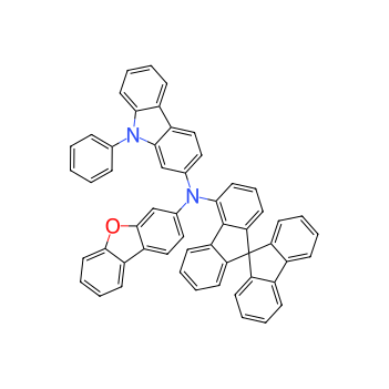 c1ccc(-n2c3ccccc3c3ccc(N(c4ccc5c(c4)oc4ccccc45)c4cccc5c4-c4ccccc4C54c5ccccc5-c5ccccc54)cc32)cc1